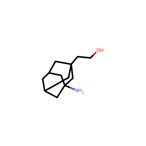 NC12CC3CC(C1)CC(CCO)(C3)C2